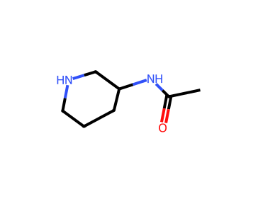 CC(=O)NC1CCCNC1